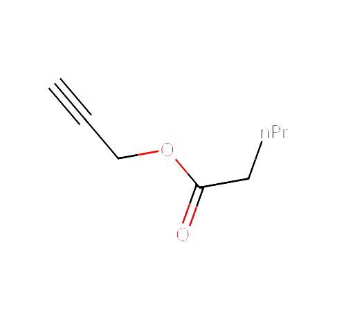 C#CCOC(=O)CC[CH]C